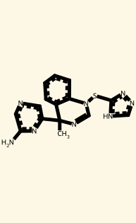 CC1(c2cncc(N)n2)N=CN(Sc2nnc[nH]2)c2ccccc21